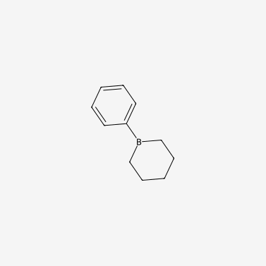 c1ccc(B2CCCCC2)cc1